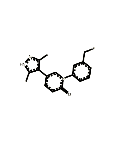 Cc1n[nH]c(C)c1-c1ccc(=O)n(-c2cccc(CF)c2)c1